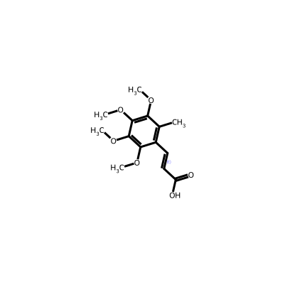 COc1c(C)c(/C=C/C(=O)O)c(OC)c(OC)c1OC